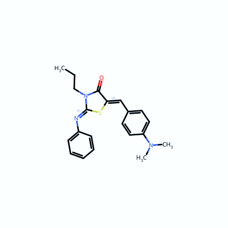 CCCN1C(=O)/C(=C/c2ccc(N(C)C)cc2)S/C1=N\c1ccccc1